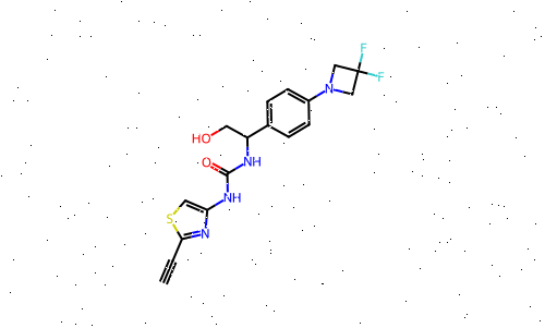 C#Cc1nc(NC(=O)NC(CO)c2ccc(N3CC(F)(F)C3)cc2)cs1